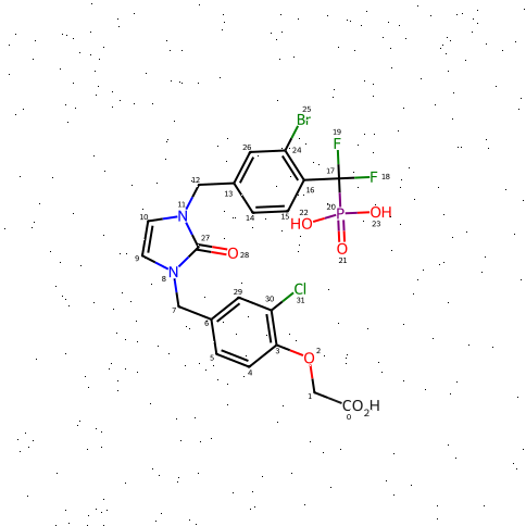 O=C(O)COc1ccc(Cn2ccn(Cc3ccc(C(F)(F)P(=O)(O)O)c(Br)c3)c2=O)cc1Cl